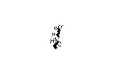 C=CC(=O)NCCCCCC(=O)[O-].[Na+]